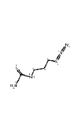 [N-]=[N+]=NCCCNC(N)=S